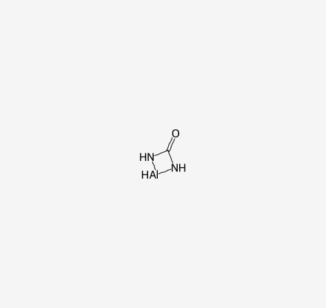 O=C1[NH][AlH][NH]1